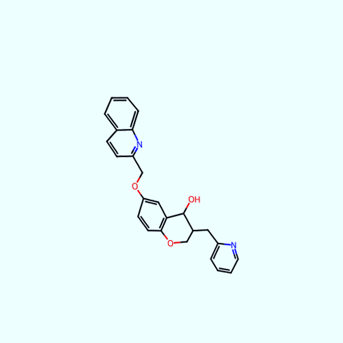 OC1c2cc(OCc3ccc4ccccc4n3)ccc2OCC1Cc1ccccn1